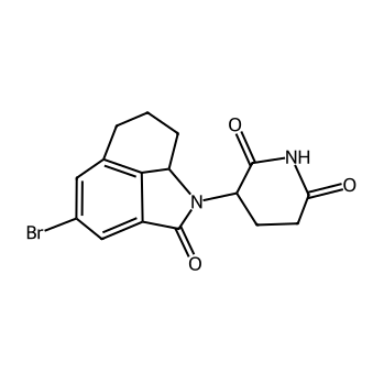 O=C1CCC(N2C(=O)c3cc(Br)cc4c3C2CCC4)C(=O)N1